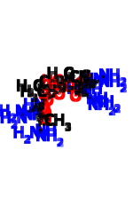 COC(=O)[C@H](CCCNC(N)N)NN[C@@H](CCCNC(N)N)C(=O)C(=O)COc1cc2oc3cc(OCC(=O)N[C@@H](CCCNC(N)N)C(=O)N[C@@H](CCCNC(N)N)C(=O)OC)c(OC)c(CC=C(C)C)c3c(=O)c2c(O)c1CC=C(C)C